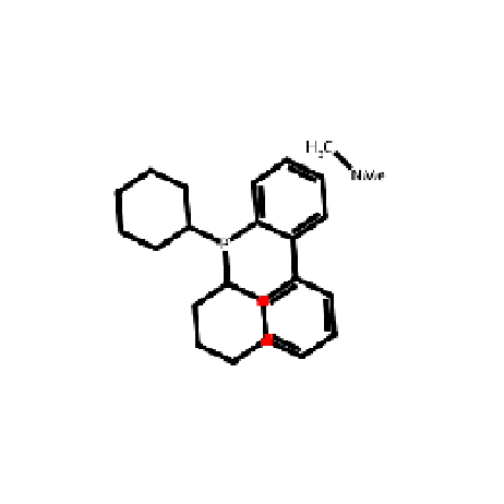 CNC.c1ccc(-c2ccccc2P(C2CCCCC2)C2CCCCC2)cc1